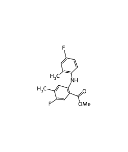 COC(=O)c1cc(F)c(C)cc1Nc1ccc(F)cc1C